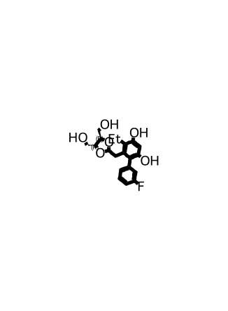 CCc1c(O)cc(O)c(-c2cccc(F)c2)c1CC1O[C@H](CO)[C@@H](CO)O1